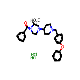 Cl.Cl.O=C(O)C1CN(C2CCN(Cc3ccc(Oc4ccccc4)cc3)CC2)CCN1C(=O)c1ccccc1